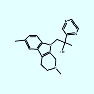 Cc1ccc2c(c1)c1c(n2CC(C)(O)c2cnccn2)CN(C)CC1